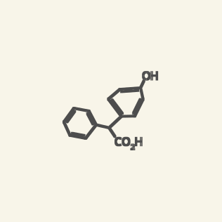 O=C(O)C(c1ccccc1)c1ccc(O)cc1